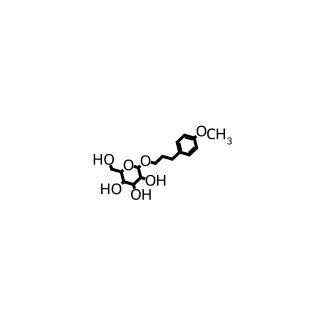 COc1ccc(CCCOC2OC(CO)C(O)C(O)C2O)cc1